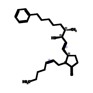 C[C@@H](CCCCCc1ccccc1)[C@H](O)/C=C/[C@H]1CCC(=O)N1C/C=C\CCCC(=O)O